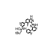 CC(C)(C)CC(O)Nc1cncc(-c2ccc3[nH]nc(-c4nc5c(-c6ccccc6F)ccnc5[nH]4)c3c2F)c1